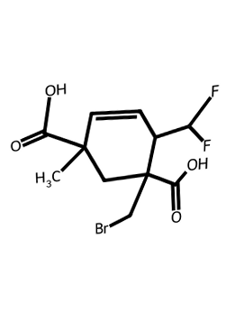 CC1(C(=O)O)C=CC(C(F)F)C(CBr)(C(=O)O)C1